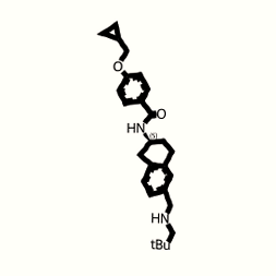 CC(C)(C)CNCc1ccc2c(c1)CC[C@H](NC(=O)c1ccc(OCC3CC3)cc1)C2